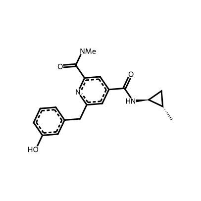 CNC(=O)c1cc(C(=O)N[C@H]2C[C@@H]2C)cc(Cc2cccc(O)c2)n1